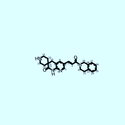 O=C(C=Cc1cnc2c(c1)CC1(CCNCC1)C(=O)N2)N1CCc2ccccc2C1